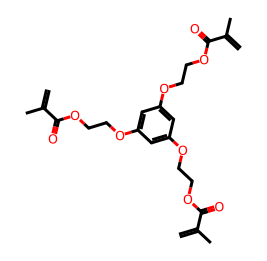 C=C(C)C(=O)OCCOc1cc(OCCOC(=O)C(=C)C)cc(OCCOC(=O)C(=C)C)c1